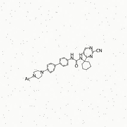 CC(=O)N1CCN(c2ccc(-c3ccc(NC(=O)NC4(c5ccnc(C#N)n5)CCCCC4)cc3)cc2)CC1